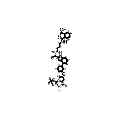 CN(CCCCNC(=O)c1ccccc1C(=O)O)C(=O)c1cc2c(-c3cccc(O[C@H]4C[C@@H](C(=O)O)N(C(=O)OC(C)(C)C)C4)c3)cccc2[nH]1